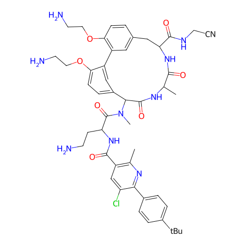 Cc1nc(-c2ccc(C(C)(C)C)cc2)c(Cl)cc1C(=O)NC(CCN)C(=O)N(C)C1C(=O)NC(C)C(=O)NC(C(=O)NCC#N)Cc2ccc(OCCN)c(c2)-c2cc1ccc2OCCN